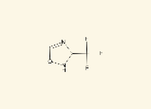 FC(F)(F)[C]1N=CON1